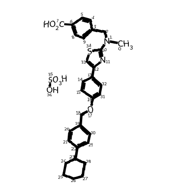 CN(Cc1ccc(C(=O)O)cc1)c1nc(-c2ccc(OCc3ccc(C4CCCCC4)cc3)cc2)cs1.O=S(=O)(O)O